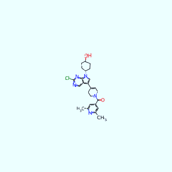 Cc1cc(C(=O)N2CC=C(c3cn([C@H]4CC[C@H](O)CC4)c4nc(Cl)ncc34)CC2)cc(C)n1